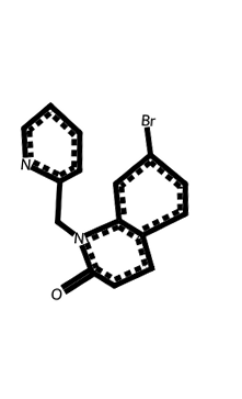 O=c1ccc2ccc(Br)cc2n1Cc1ccccn1